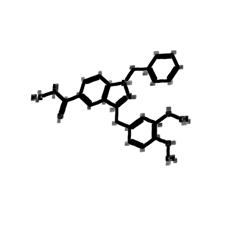 CNC(=O)c1ccc2c(c1)c(Cc1ccc(OC)c(OC)c1)nn2Cc1ccccc1